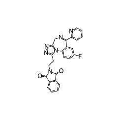 O=C1c2ccccc2C(=O)N1CCc1nnc2n1-c1ccc(F)cc1C(c1ccccn1)=NC2